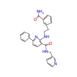 NC(=O)c1cccc(CCNc2nc(-c3ccccc3)ccc2C(=O)NCc2cccnc2)c1